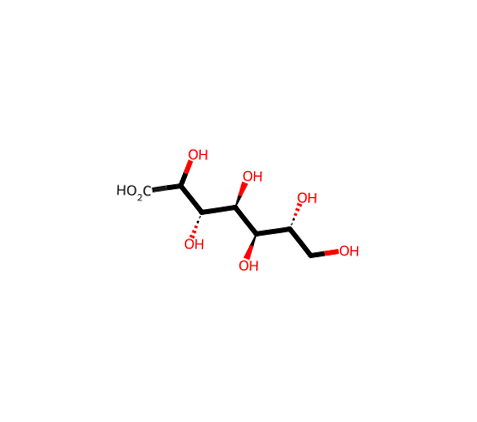 O=C(O)C(O)[C@@H](O)[C@@H](O)[C@H](O)[C@H](O)CO